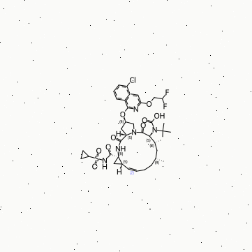 C[C@@H]1CC/C=C\[C@@H]2C[C@@]2(C(=O)NS(=O)(=O)C2CC2)NC(=O)[C@@H]2C[C@@H](Oc3nc(OCC(F)F)cc4c(Cl)cccc34)CN2C(=O)[C@@H](N(C(=O)O)C(C)(C)C)[C@H](C)C1